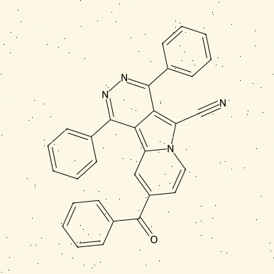 N#Cc1c2c(-c3ccccc3)nnc(-c3ccccc3)c2c2cc(C(=O)c3ccccc3)ccn12